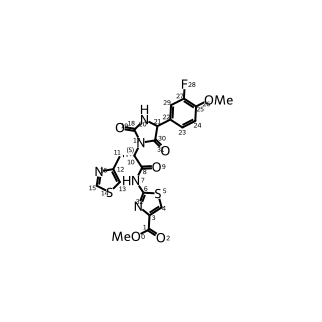 COC(=O)c1csc(NC(=O)[C@H](Cc2cscn2)N2C(=O)NC(c3ccc(OC)c(F)c3)C2=O)n1